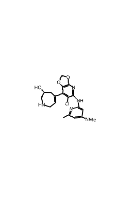 CNc1cc(C)nc(Nc2nc3c(c(C4=CCNC[C@@H](O)C4)c2Cl)OCO3)c1